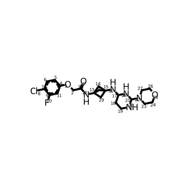 O=C(COc1ccc(Cl)c(F)c1)NC12CC(NC3CCNC(N4CCOCC4)N3)(C1)C2